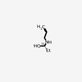 C=CCN[C@@H](O)CC